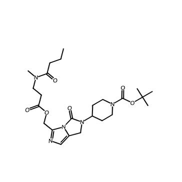 CCCC(=O)N(C)CCC(=O)OCc1ncc2n1C(=O)N(C1CCN(C(=O)OC(C)(C)C)CC1)C2